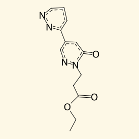 CCOC(=O)CCn1ncc(-c2cccnn2)cc1=O